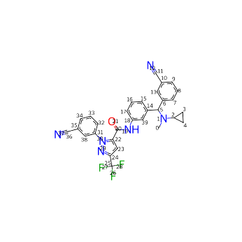 CN(C1CC1)C(c1cccc(C#N)c1)c1cccc(NC(=O)c2cc(C(F)(F)F)nn2-c2cccc(C#N)c2)c1